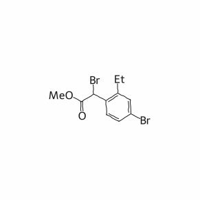 CCc1cc(Br)ccc1C(Br)C(=O)OC